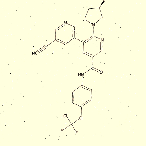 C#Cc1cncc(-c2cc(C(=O)Nc3ccc(OC(F)(F)Cl)cc3)cnc2N2CC[C@@H](O)C2)c1